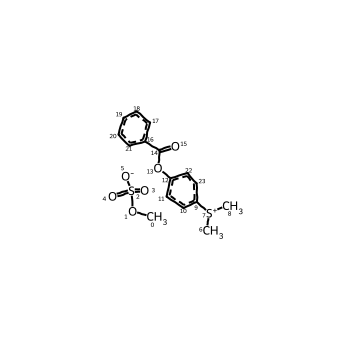 COS(=O)(=O)[O-].C[S+](C)c1ccc(OC(=O)c2ccccc2)cc1